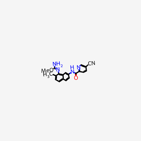 CO/C(N)=N\c1c(C)ccc2ccc(NC(=O)c3ccc(C#N)cn3)cc12